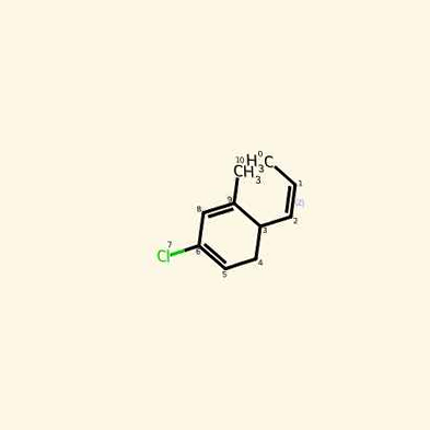 C/C=C\C1CC=C(Cl)C=C1C